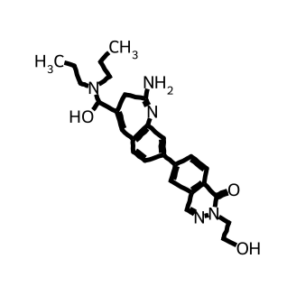 CCCN(CCC)C(O)C1=Cc2ccc(-c3ccc4c(=O)n(CCO)ncc4c3)cc2N=C(N)C1